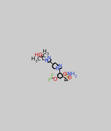 CC(C)(O)Cn1cc(-c2ccn3c(-c4cc(OC(F)F)cc(C5(S(N)(=O)=O)CC5)c4)cnc3c2)cn1